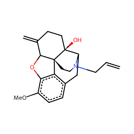 C=CCN1CC[C@@]23c4c5ccc(OC)c4OC2C(=C)CC[C@]3(O)C1C5